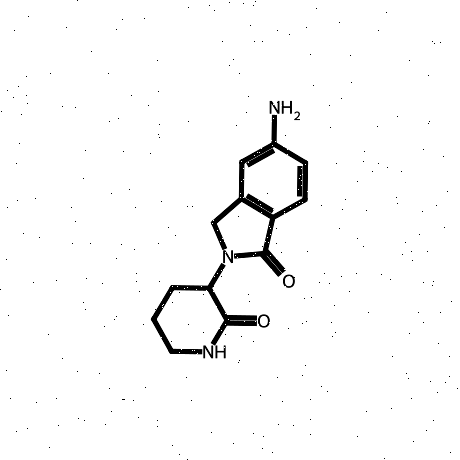 Nc1ccc2c(c1)CN(C1CCCNC1=O)C2=O